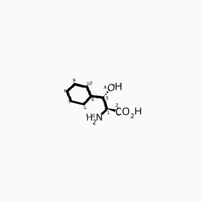 N[C@H](C(=O)O)[C@@H](O)C1CCCCC1